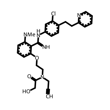 C#CCN(CCOc1cccc(NC)c1C(=N)Nc1ccc(CCc2ccccn2)c(Cl)c1)C(=O)CO